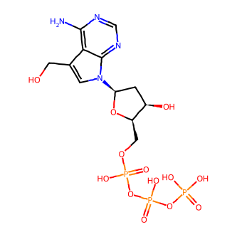 Nc1ncnc2c1c(CO)cn2[C@H]1C[C@@H](O)[C@@H](COP(=O)(O)OP(=O)(O)OP(=O)(O)O)O1